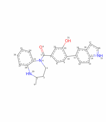 CC1CCN(C(=O)c2ccc(-c3ccc4[nH]ccc4c3)c(O)c2)c2ccccc2N1